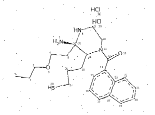 CCCOCC[C@]1(N)NCCN(C(=O)c2cccc3ccccc23)C1CCCS.Cl.Cl